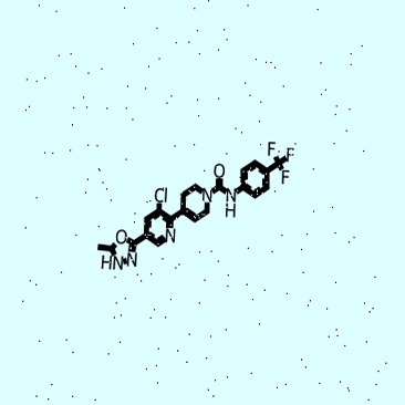 CC1NN=C(c2cnc(C3=CCN(C(=O)Nc4ccc(C(F)(F)F)cc4)CC3)c(Cl)c2)O1